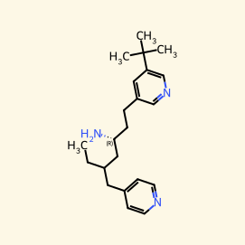 CCC(Cc1ccncc1)C[C@H](N)CCc1cncc(C(C)(C)C)c1